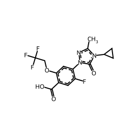 Cc1nn(-c2cc(OCC(F)(F)F)c(C(=O)O)cc2F)c(=O)n1C1CC1